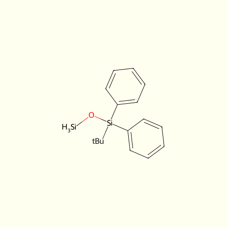 CC(C)(C)[Si](O[SiH3])(c1ccccc1)c1ccccc1